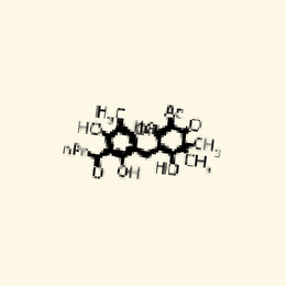 CCCC(=O)c1c(O)c(C)c(O)c(CC2=C(O)C(C)(C)C(=O)C(C(C)=O)=C2O)c1O